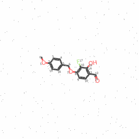 COc1ccc(COc2ccc(C=O)c(O)c2F)cc1